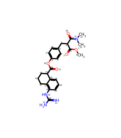 COC(=O)C(Cc1ccc(OC(=O)C2CCCc3c(NC(=N)N)cccc32)cc1)C(=O)N(C)C